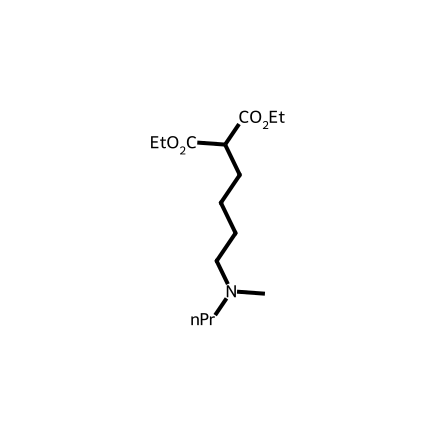 CCCN(C)CCCCC(C(=O)OCC)C(=O)OCC